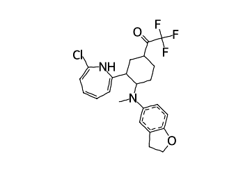 CN(c1ccc2c(c1)CCO2)C1CCC(C(=O)C(F)(F)F)CC1C1=CC=CC=C(Cl)N1